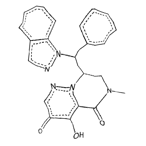 CN1CC(C(c2ccccc2)n2ncc3ccccc32)n2ncc(=O)c(O)c2C1=O